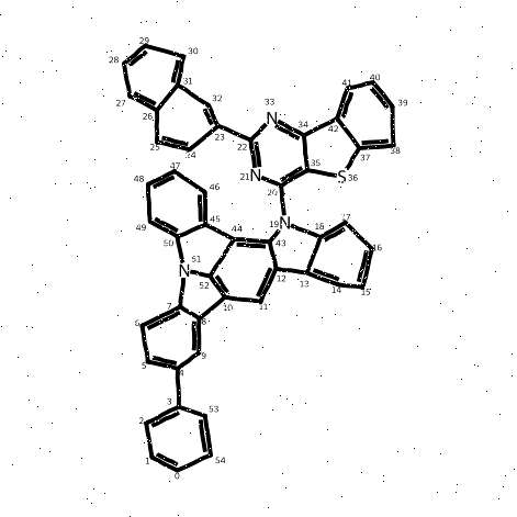 c1ccc(-c2ccc3c(c2)c2cc4c5ccccc5n(-c5nc(-c6ccc7ccccc7c6)nc6c5sc5ccccc56)c4c4c5ccccc5n3c24)cc1